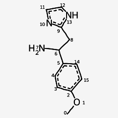 COc1ccc(C(N)Cc2ncc[nH]2)cc1